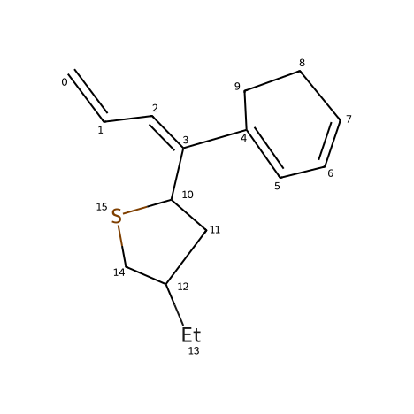 C=C/C=C(/C1=CC=CCC1)C1CC(CC)CS1